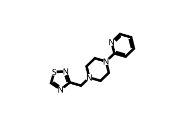 c1ccc(N2CCN(Cc3ncsn3)CC2)nc1